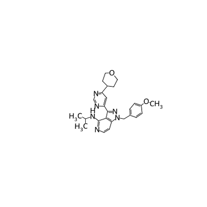 COc1ccc(Cn2nc(-c3cc(C4CCOCC4)ncn3)c3c(NC(C)C)nccc32)cc1